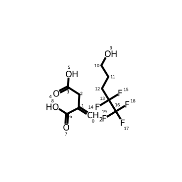 C=C(CC(=O)O)C(=O)O.OCCCC(F)(F)C(F)(F)F